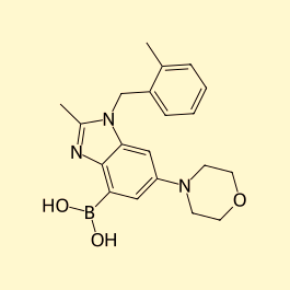 Cc1ccccc1Cn1c(C)nc2c(B(O)O)cc(N3CCOCC3)cc21